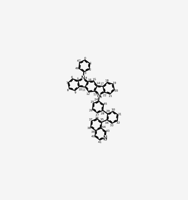 c1ccc(-n2c3ccccc3c3cc4c(cc32)c2ccccc2n4-c2cccc(-c3ccccc3-c3cccc4ccncc34)c2)cc1